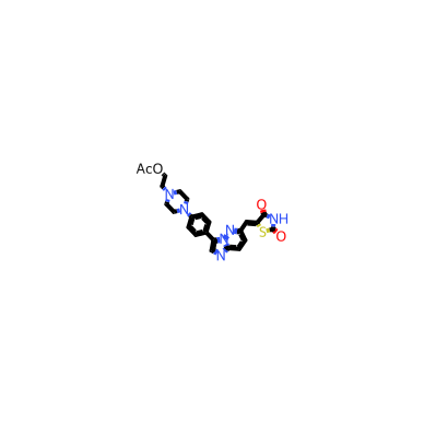 CC(=O)OCCN1CCN(c2ccc(-c3cnc4ccc(/C=C5\SC(=O)NC5=O)nn34)cc2)CC1